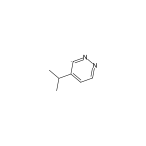 CC(C)c1[c]nncc1